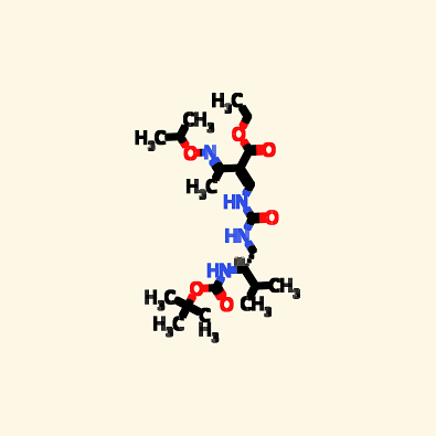 CCOC(=O)C(=CNC(=O)NC[C@@H](NC(=O)OC(C)(C)C)C(C)C)C(C)=NOC(C)C